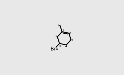 CC1=CCCC(Br)C1